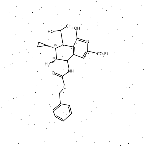 CCOC(=O)c1cc2c(c(O)n1)N(C(C)O)[C@@H](C1CC1)[C@H](C)C2NC(=O)OCc1ccccc1